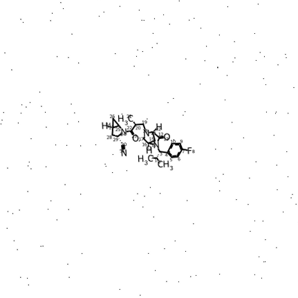 CC(C)[C@@H](c1ccc(F)cc1)N1C(=O)[C@@H]2C[C@H]1CN2C[C@H](C)C(=O)N1C2C[C@H]2C[C@H]1C#N